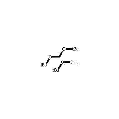 CC(C)(C)OCOC(C)(C)C.CC(C)(C)O[SiH3]